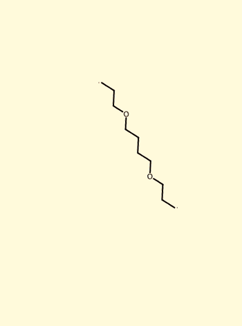 [CH2]CCOCCCCOCC[CH2]